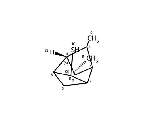 CC1C2C[C@@H]1C1CC2[C@]1(C)S